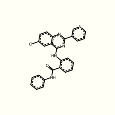 O=C(Nc1ccccc1)c1ccccc1Nc1nc(-c2cccnc2)nc2ccc(Cl)cc12